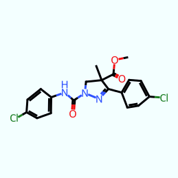 COC(=O)C1(C)CN(C(=O)Nc2ccc(Cl)cc2)N=C1c1ccc(Cl)cc1